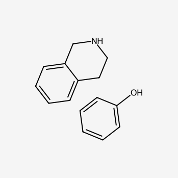 Oc1ccccc1.c1ccc2c(c1)CCNC2